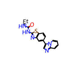 CCNC(=O)Nc1nc2cc(-c3cnc4ccccn34)ccc2s1